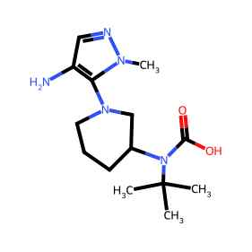 Cn1ncc(N)c1N1CCCC(N(C(=O)O)C(C)(C)C)C1